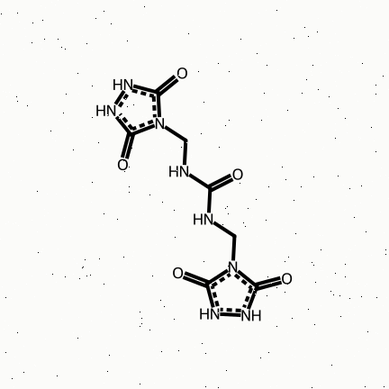 O=C(NCn1c(=O)[nH][nH]c1=O)NCn1c(=O)[nH][nH]c1=O